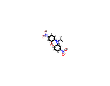 CC(C)N1c2ccc([N+](=O)[O-])cc2Oc2ccc([N+](=O)[O-])cc21